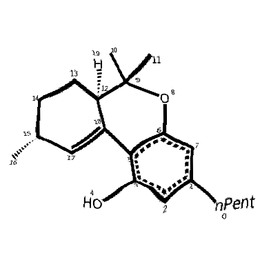 CCCCCc1cc(O)c2c(c1)OC(C)(C)[C@@H]1CC[C@@H](C)C=C21